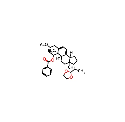 CC(=O)OC1CC2=CC=C3[C@@H]4CC[C@H](C(C)C5OCCO5)[C@@]4(C)CC[C@@H]3[C@@]2(C)C(OC(=O)c2ccccc2)C1